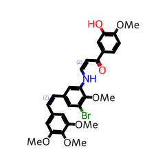 COc1ccc(C(=O)/C=C\Nc2cc(/C=C\c3cc(OC)c(OC)c(OC)c3)cc(Br)c2OC)cc1O